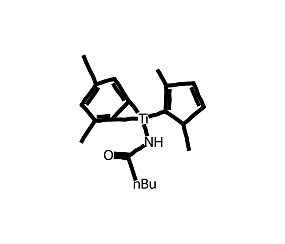 CCCCC(=O)[NH][Ti]1([C]2=C(C)C=CC2C)[c]2cc(C)cc(C)[c]21